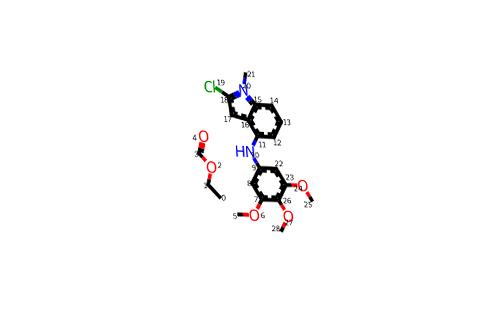 CCOC=O.COc1cc(Nc2cccc3c2cc(Cl)n3C)cc(OC)c1OC